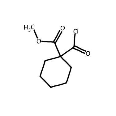 COC(=O)C1(C(=O)Cl)CCCCC1